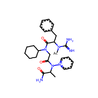 CC(=O)N(C(=N)N)C(Cc1ccccc1)C(=O)N(CC(=O)N(C(C)C(N)=O)[n+]1ccccc1)C1CCCCC1